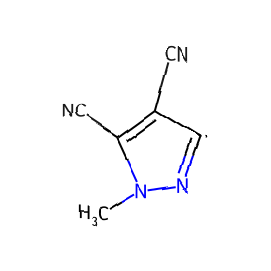 Cn1n[c]c(C#N)c1C#N